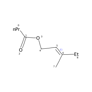 CCCC(=O)OC/C=C(\C)CC